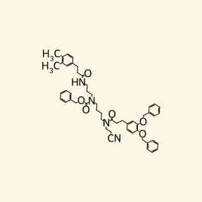 Cc1ccc(CCC(=O)NCCCN(CCCCN(CCC#N)C(=O)CCc2ccc(OCc3ccccc3)c(OCc3ccccc3)c2)C(=O)OCc2ccccc2)cc1C